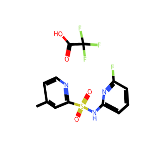 Cc1ccnc(S(=O)(=O)Nc2cccc(F)n2)c1.O=C(O)C(F)(F)F